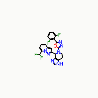 Fc1cccc(F)c1-c1nnc(N2CCc3[nH]cnc3C2c2cc3cccc(C(F)F)n3n2)o1